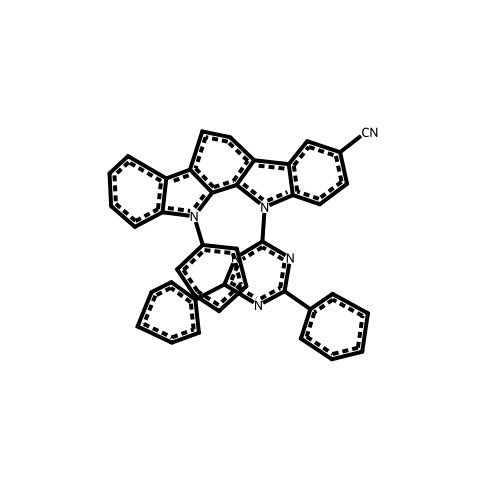 N#Cc1ccc2c(c1)c1ccc3c4ccccc4n(-c4ccccc4)c3c1n2-c1nc(-c2ccccc2)nc(-c2ccccc2)n1